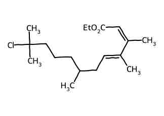 CCOC(=O)C=C(C)C(C)=CCC(C)CCCC(C)(C)Cl